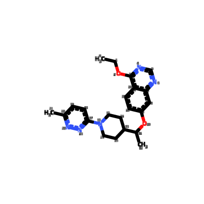 CCOc1ncnc2cc(OC(C)C3CCN(c4ccc(C)nn4)CC3)ccc12